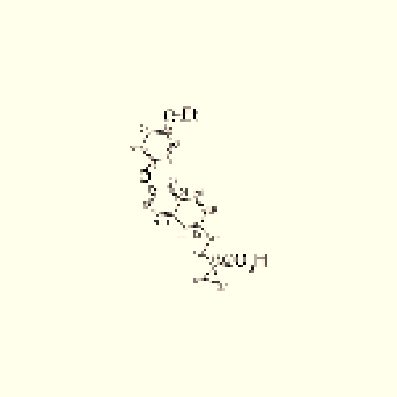 CCOc1ccc(Oc2ccc3cc(CCC4(C(=O)O)CC4)ccc3c2)cc1